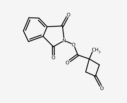 CC1(C(=O)ON2C(=O)c3ccccc3C2=O)CC(=O)C1